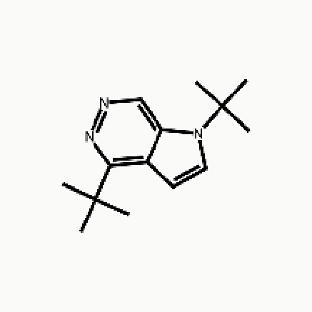 CC(C)(C)c1nncc2c1ccn2C(C)(C)C